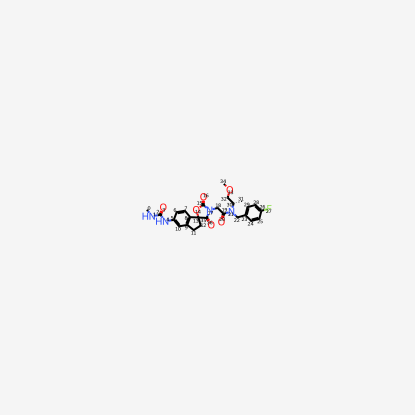 CNC(=O)Nc1ccc2c(c1)CCC21OC(=O)N(CC(=O)N(Cc2ccc(F)cc2)[C@@H](C)COC)C1=O